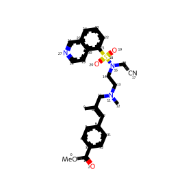 COC(=O)c1ccc(C=C(C)CN(C)CCN(CC#N)S(=O)(=O)c2cccc3cnccc23)cc1